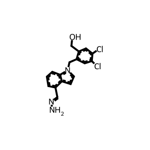 NN=Cc1cccc2c1ccn2Cc1cc(Cl)c(Cl)cc1CO